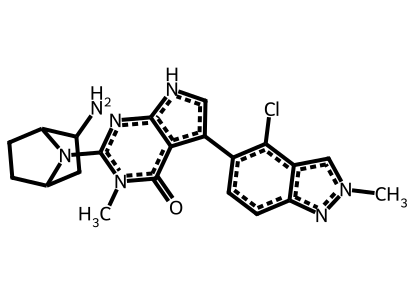 Cn1cc2c(Cl)c(-c3c[nH]c4nc(N5C6CCC5C(N)C6)n(C)c(=O)c34)ccc2n1